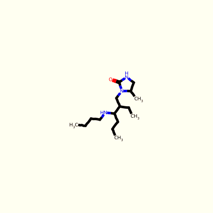 CCCCNC(CCC)C(CC)CN1C(=O)NCC1C